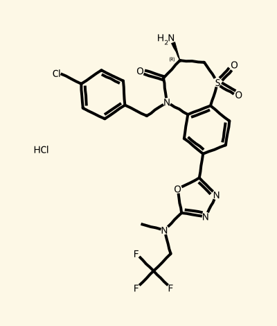 CN(CC(F)(F)F)c1nnc(-c2ccc3c(c2)N(Cc2ccc(Cl)cc2)C(=O)[C@@H](N)CS3(=O)=O)o1.Cl